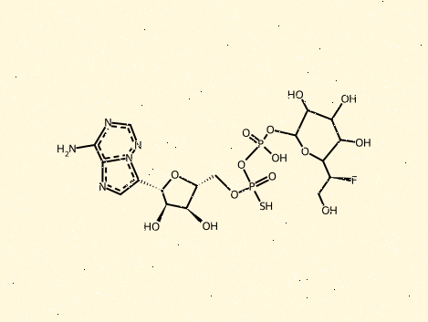 Nc1ncnn2c([C@@H]3O[C@H](COP(=O)(S)OP(=O)(O)OC4OC([C@@H](F)CO)C(O)C(O)C4O)[C@@H](O)[C@H]3O)cnc12